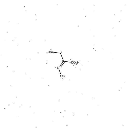 CCC(C)CC(=NO)C(=O)O